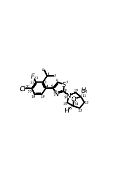 CC(C)c1c(-c2csc(N3C[C@H]4CC[C@@H](C3)O4)n2)ccc(Cl)c1F